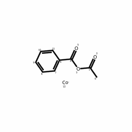 CC(=O)OC(=O)c1ccccc1.[Co]